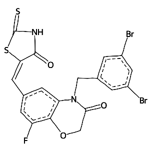 O=C1NC(=S)SC1=Cc1cc(F)c2c(c1)N(Cc1cc(Br)cc(Br)c1)C(=O)CO2